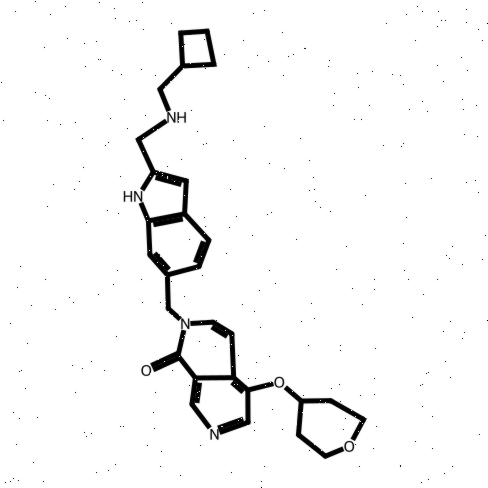 O=c1c2cncc(OC3CCOCC3)c2ccn1Cc1ccc2cc(CNCC3CCC3)[nH]c2c1